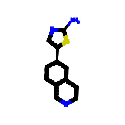 Nc1ncc(-c2ccc3cnccc3c2)s1